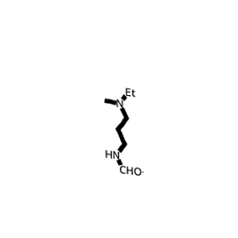 CCN(C)CCCN[C]=O